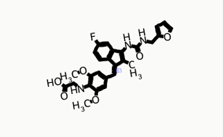 COc1cc(/C=C2/C(C)=C(NC(=O)NCc3ccco3)c3cc(F)ccc32)cc(OC)c1NCC(=O)O